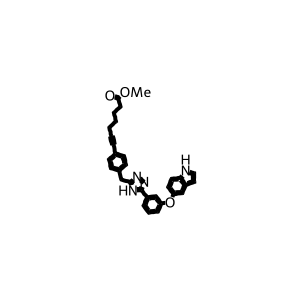 COC(=O)CCCCC#Cc1ccc(Cc2nnc(-c3cccc(Oc4ccc5[nH]ccc5c4)c3)[nH]2)cc1